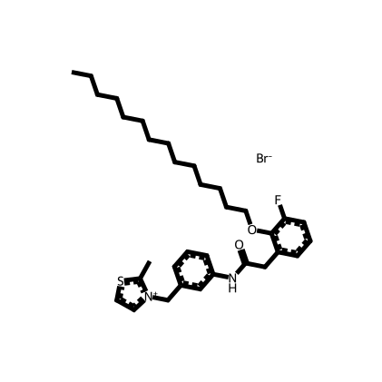 CCCCCCCCCCCCCCOc1c(F)cccc1CC(=O)Nc1cccc(C[n+]2ccsc2C)c1.[Br-]